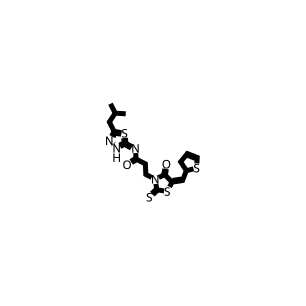 CC(C)Cc1n[nH]/c(=N\C(=O)CCN2C(=O)/C(=C\C3CC=CS3)SC2=S)s1